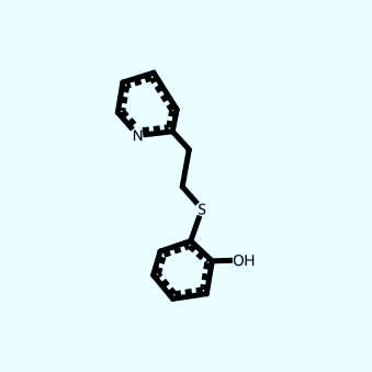 Oc1ccccc1SCCc1ccccn1